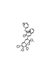 COC(=O)C(=Cc1cc(Cl)c(OC)c(OC)c1)C(=Cc1ccccc1)C(=O)NCc1cccnc1